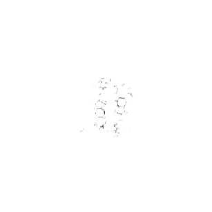 C=CCCC(O)c1cc2cc(CO[Si](C)(C)C(C)(C)C)n(C)c2cc1C=C.Cn1c(CO[Si](C)(C)C(C)(C)C)cc2cc3c(cc21)C=CCCC3O